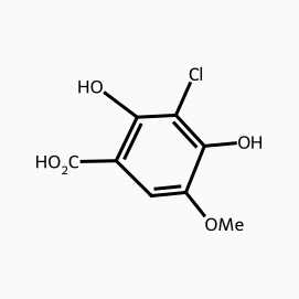 COc1cc(C(=O)O)c(O)c(Cl)c1O